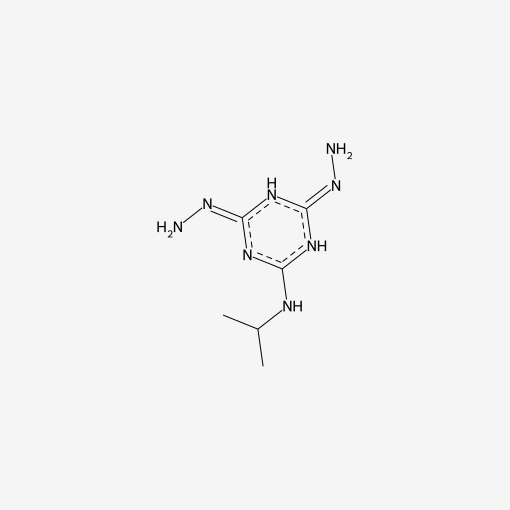 CC(C)Nc1n/c(=N\N)[nH]/c(=N\N)[nH]1